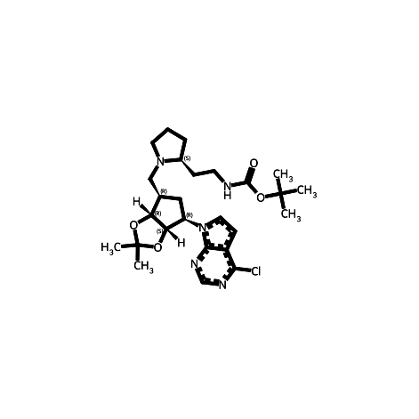 CC(C)(C)OC(=O)NCC[C@@H]1CCCN1C[C@H]1C[C@@H](n2ccc3c(Cl)ncnc32)[C@@H]2OC(C)(C)O[C@H]12